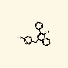 O=c1c(-c2ccccc2)cc(Cc2ccc(Cl)nc2)c2ccccn12